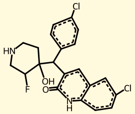 O=c1[nH]c2ccc(Cl)cc2cc1C(c1ccc(Cl)cc1)C1(O)CCNCC1F